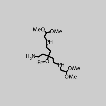 COC(CPCCC(CCN)(CCPCC(OC)OC)OC(C)C)OC